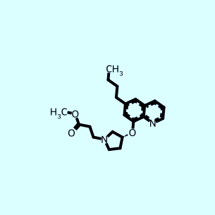 CCCCc1cc(O[C@@H]2CCN(CCC(=O)OC)C2)c2ncccc2c1